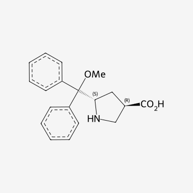 COC(c1ccccc1)(c1ccccc1)[C@@H]1C[C@@H](C(=O)O)CN1